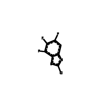 Fc1cc2nc(Cl)sc2c(F)c1F